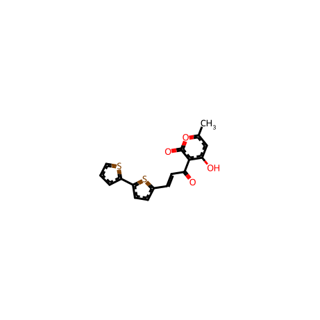 Cc1cc(O)c(C(=O)C=Cc2ccc(-c3cccs3)s2)c(=O)o1